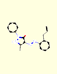 C=CCc1ccccc1/N=N/c1c(C)[nH]n(-c2ccccc2)c1=O